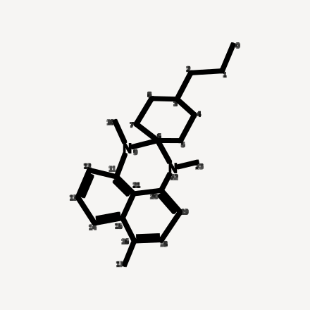 CCCC1CCC2(CC1)N(C)c1cccc3c(C)ccc(c13)N2C